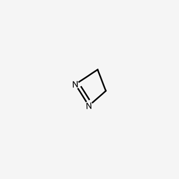 C1CN=N1